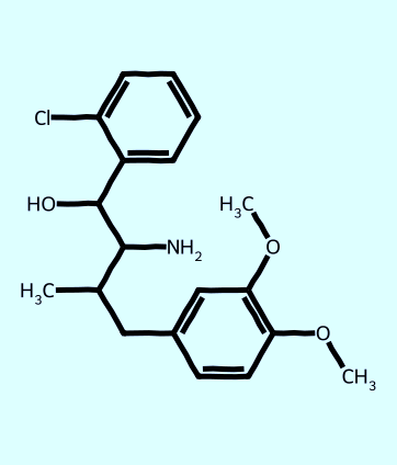 COc1ccc(CC(C)C(N)C(O)c2ccccc2Cl)cc1OC